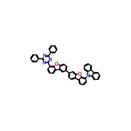 c1ccc(-c2nc(-c3ccccc3)nc(-c3cccc4c3oc3ccc(-c5ccc6c(c5)oc5c(-n7c8ccccc8c8ccccc87)cccc56)cc34)n2)cc1